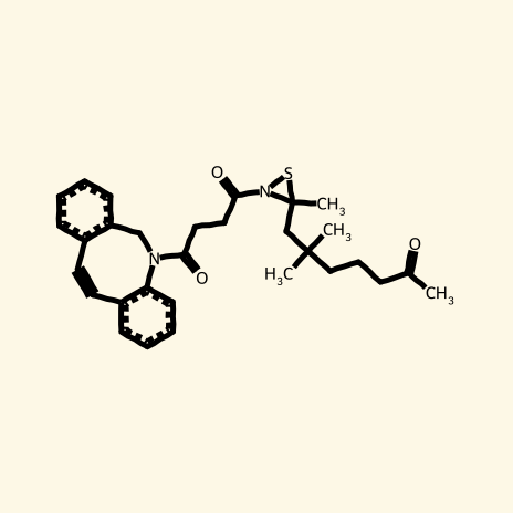 CC(=O)CCCC(C)(C)CC1(C)SN1C(=O)CCC(=O)N1Cc2ccccc2C#Cc2ccccc21